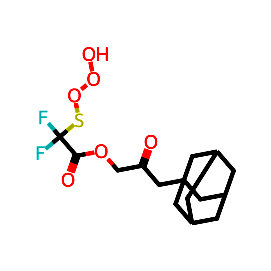 O=C(COC(=O)C(F)(F)SOOO)CC12CC3CC(CC(C3)C1)C2